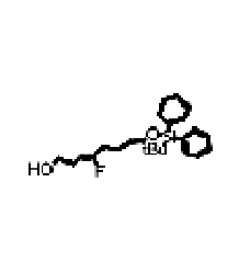 CC(C)(C)[Si](OCCCC/C(F)=C/CCO)(c1ccccc1)c1ccccc1